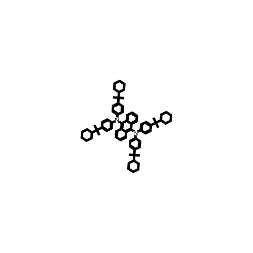 CC(C)(c1ccc(N(c2ccc(C(C)(C)C3CCCCC3)cc2)c2c3ccccc3c(N(c3ccc(C(C)(C)C4CCCCC4)cc3)c3ccc(C(C)(C)C4CCCCC4)cc3)c3ccccc23)cc1)C1CCCCC1